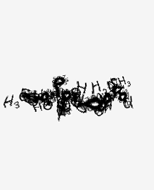 CC1(C)CCC(c2ccc(Cl)cc2)=C(CN2CCN3c4ccc(C(=O)NS(=O)(=O)c5ccc(N[C@H](CCN6CCN(C(=O)OC(C)(C)C)C[C@H]6CO)CSc6ccccc6)c(S(=O)(=O)C(F)(F)F)c5)cc4OC[C@@H]3C2)C1